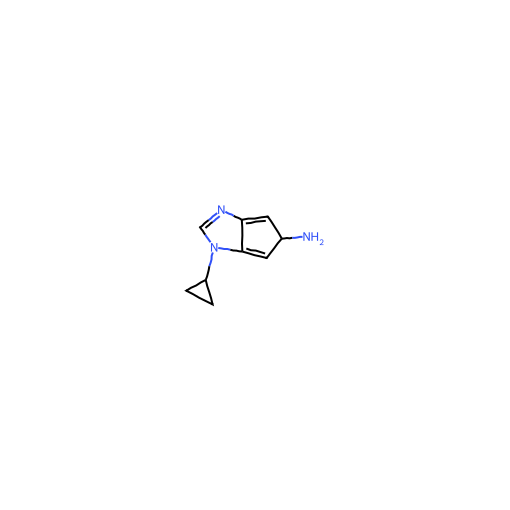 NC1C=c2ncn(C3CC3)c2=C1